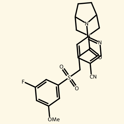 COc1cc(F)cc(S(=O)(=O)CCC(=O)N2CC3CCC(C2)N3c2ccc(C#N)cn2)c1